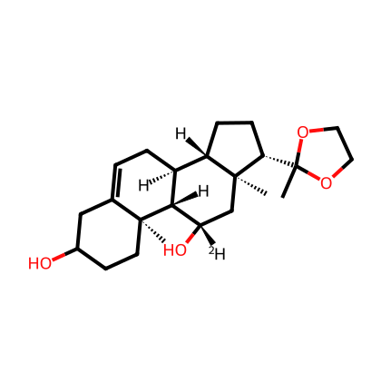 [2H][C@]1(O)C[C@]2(C)[C@@H](C3(C)OCCO3)CC[C@H]2[C@@H]2CC=C3CC(O)CC[C@]3(C)[C@H]21